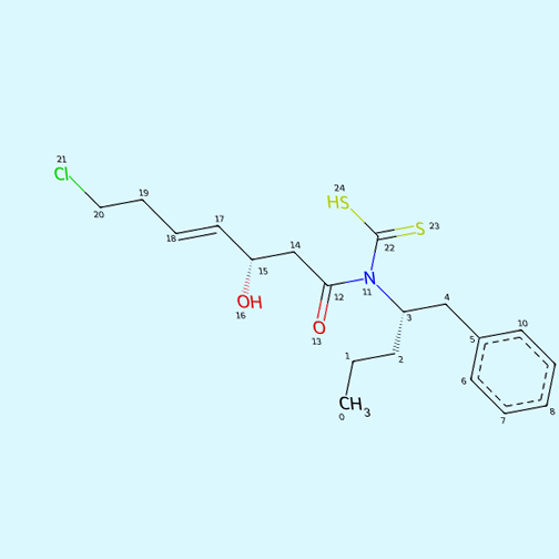 CCC[C@@H](Cc1ccccc1)N(C(=O)C[C@H](O)/C=C/CCCl)C(=S)S